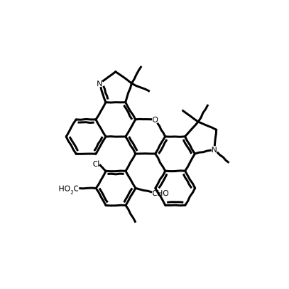 Cc1cc(C(=O)O)c(Cl)c(C2=c3c(c4c(c5ccccc35)=NCC4(C)C)Oc3c4c(c5ccccc5c32)N(C)CC4(C)C)c1C=O